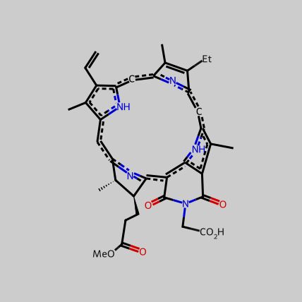 C=Cc1c(C)c2cc3nc(c4c5[nH]c(cc6nc(cc1[nH]2)C(C)=C6CC)c(C)c5C(=O)N(CC(=O)O)C4=O)[C@@H](CCC(=O)OC)[C@@H]3C